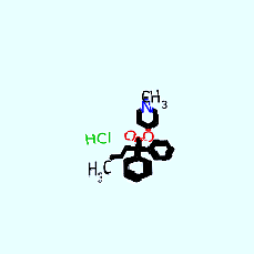 CCCCC(C(=O)OC1CCN(C)CC1)(c1ccccc1)c1ccccc1.Cl